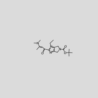 CCn1c(C(=O)/C=C(\C)N(C)C)nc2c1CN(C(=O)OC(C)(C)C)C2